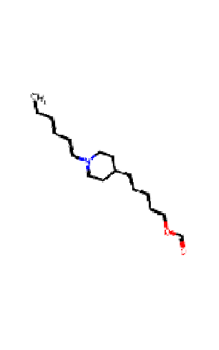 CCCCCCN1CCC(CCCCCOC=O)CC1